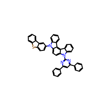 c1ccc(-c2cc(-c3ccccc3)nc(-n3c4ccccc4c4c5c6ccccc6n(-c6ccc7sc8ccccc8c7c6)c5ccc43)n2)cc1